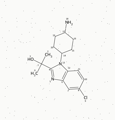 CC(C)(O)c1nc2cc(Cl)ccc2n1C1CCC(N)CC1